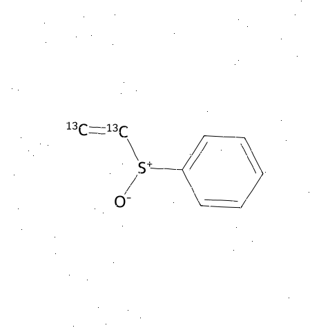 [13CH2]=[13CH][S+]([O-])c1ccccc1